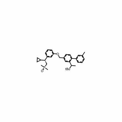 Cc1cccc(-c2ccc(COc3cccc([C@@H](CP(C)(C)=O)C4CC4)c3)cc2C(C)C(C)(C)C)c1